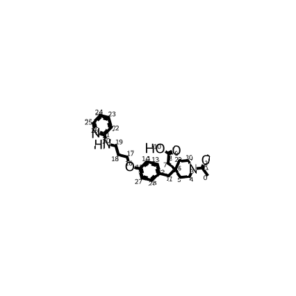 CC(=O)N1CCC(CC(=O)O)(Cc2ccc(OCCCNc3ccccn3)cc2)CC1